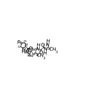 CC(=N)NC(=O)C(=O)NC1CC(C)(C2(NC(=O)c3ccc(F)cc3)CC2)CC1C